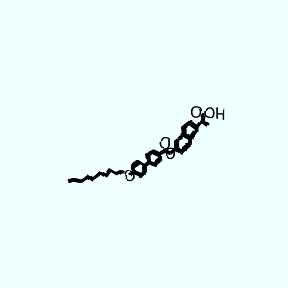 CCCCCCCCCCOc1ccc(-c2ccc(C(=O)Oc3ccc4cc(C(C)C(=O)O)ccc4c3)cc2)cc1